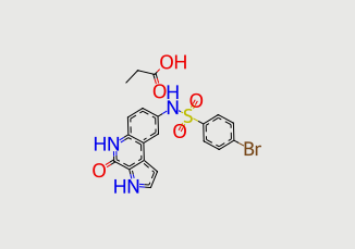 CCC(=O)O.O=c1[nH]c2ccc(NS(=O)(=O)c3ccc(Br)cc3)cc2c2cc[nH]c12